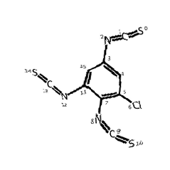 S=C=Nc1cc(Cl)c(N=C=S)c(N=C=S)c1